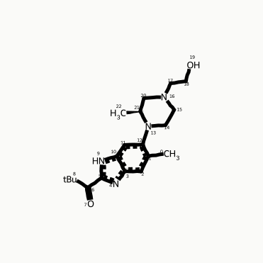 Cc1cc2nc(C(=O)C(C)(C)C)[nH]c2cc1N1CCN(CCO)C[C@@H]1C